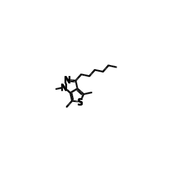 CCCCCCc1nn(C)c2c(C)sc(C)c12